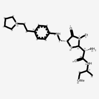 CCN1C(=O)[C@@H](CNc2ccc(CCN3CCCC3)cc2)SC1[C@H](N)C(=O)NC(C)COC